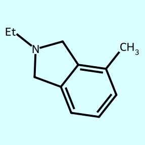 CCN1Cc2cccc(C)c2C1